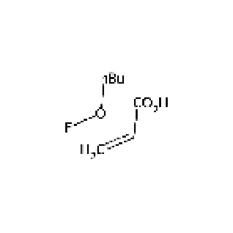 C=CC(=O)O.CCCCOF